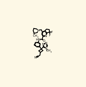 C[C@H]1CCCN(Cc2cc(C(=O)Nc3cccc(C4(c5nncn5C)CC(CC#N)C4)c3)nc3c2CCC3(F)F)C1